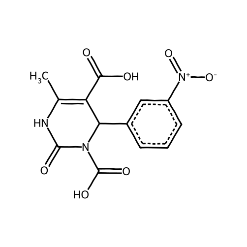 CC1=C(C(=O)O)C(c2cccc([N+](=O)[O-])c2)N(C(=O)O)C(=O)N1